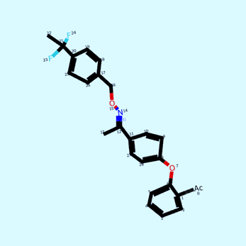 CC(=O)c1ccccc1Oc1ccc(/C(C)=N/OCc2ccc(C(C)(F)F)cc2)cc1